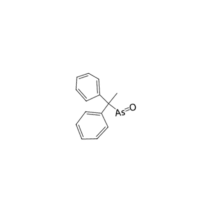 CC([As]=O)(c1ccccc1)c1ccccc1